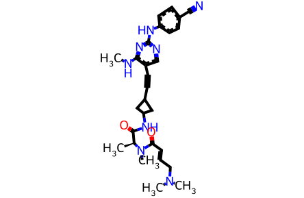 CNc1nc(Nc2ccc(C#N)cc2)ncc1C#CC1CC(NC(=O)[C@H](C)N(C)C(=O)/C=C/CN(C)C)C1